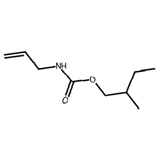 C=CCNC(=O)OCC(C)CC